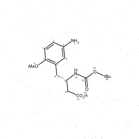 COc1ccc(N)cc1C[C@@H](CC(=O)O)NC(=O)OC(C)(C)C